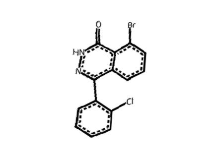 O=c1[nH]nc(-c2ccccc2Cl)c2cccc(Br)c12